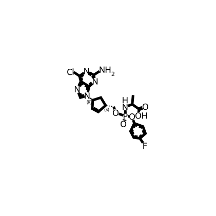 CC(NP(=O)(OC[C@@H]1C=C[C@H](n2cnc3c(Cl)nc(N)nc32)C1)Oc1ccc(F)cc1)C(=O)O